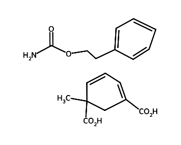 CC1(C(=O)O)C=CC=C(C(=O)O)C1.NC(=O)OCCc1ccccc1